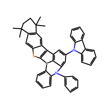 CC1(C)CCC(C)(C)c2cc3c4c(sc3cc21)B1c2ccccc2N(c2ccccc2)c2cc(-n3c5ccccc5c5ccccc53)cc-4c21